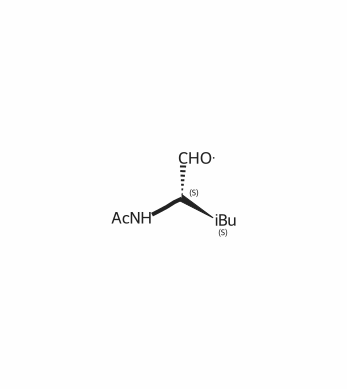 CC[C@H](C)[C@@H]([C]=O)NC(C)=O